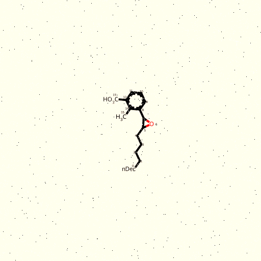 CCCCCCCCCCCCCCC1OC1c1cccc(C(=O)O)c1C